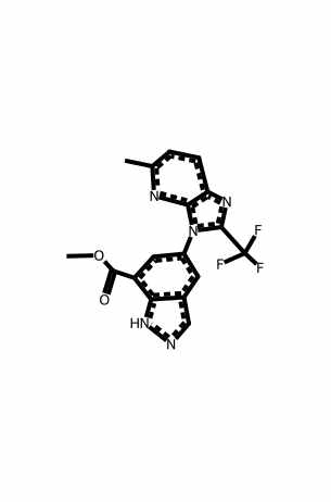 COC(=O)c1cc(-n2c(C(F)(F)F)nc3ccc(C)nc32)cc2cn[nH]c12